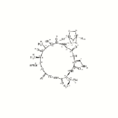 CCCCCC[C@H]1OC(=O)CNC(=O)[C@H]([C@H](C)O)NC(=O)[C@H](CN)NC(=O)C([C@H]2C[C@@H]3CC[C@H]2C3)NC(=O)[C@H](CCC)N(C)C(=O)[C@@H]1C